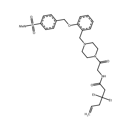 C=CCC(CC)(CC)CC(=O)NCC(=O)N1CCN(Cc2ccccc2OCc2ccc(S(=O)(=O)NC)cc2)CC1